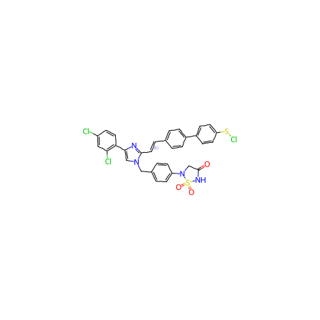 O=C1CN(c2ccc(Cn3cc(-c4ccc(Cl)cc4Cl)nc3/C=C/c3ccc(-c4ccc(SCl)cc4)cc3)cc2)S(=O)(=O)N1